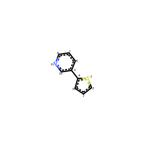 [c]1ccsc1-c1cccnc1